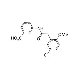 COc1ccc(Cl)cc1CC(=O)Nc1cccc(C(=O)O)c1